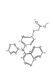 COC(=O)CCc1ccc(N(c2ccccc2)c2cccc3ccccc23)cc1